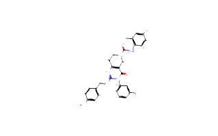 COc1ccc(CNc2nc3c(c(=O)n2-c2cccc(Cl)c2)CN(C(=O)Nc2ccc(Cl)cc2Cl)CC3)cc1